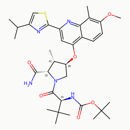 COc1ccc2c(O[C@H]3CN(C(=O)[C@@H](NC(=O)OC(C)(C)C)C(C)(C)C)[C@H](C(N)=O)[C@@H]3C)cc(-c3nc(C(C)C)cs3)nc2c1C